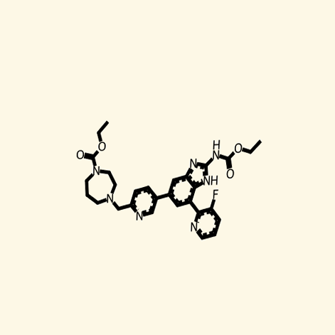 CCOC(=O)Nc1nc2cc(-c3ccc(CN4CCCN(C(=O)OCC)CC4)nc3)cc(-c3ncccc3F)c2[nH]1